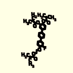 C=C(C)C(=O)OCCOc1ccc(-c2ccc(-c3ccc(OC(=O)C(=C)C)c(OC(=O)C(=C)C)c3)cc2)cc1F